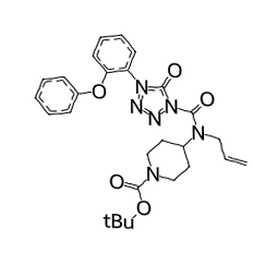 C=CCN(C(=O)n1nnn(-c2ccccc2Oc2ccccc2)c1=O)C1CCN(C(=O)OC(C)(C)C)CC1